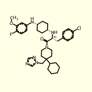 COc1cc(N[C@H]2CC[C@@H](N[C@H](Cc3ccc(Cl)cc3)C(=O)N3CCC(Cn4cncn4)(C4CCCCC4)CC3)CC2)ccc1F